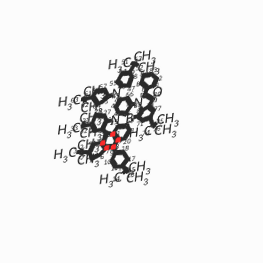 CC(C)(C)c1ccc(C(c2ccc(C(C)(C)C)cc2)c2ccc3c(c2)N(c2ccc(C(C)(C)C)cc2-c2ccccc2)c2cc(N(c4ccc(C(C)(C)C)cc4)c4ccc(C(C)(C)C)cc4)cc4c2B3c2cc(C(C)(C)C)cc3c5oc6ccccc6c5n-4c23)cc1